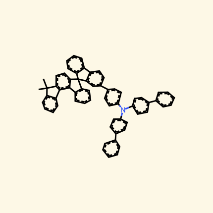 CC1(C)c2ccccc2-c2c1ccc1c2-c2ccccc2C12c1ccccc1-c1ccc(-c3ccc(N(c4ccc(-c5ccccc5)cc4)c4ccc(-c5ccccc5)cc4)cc3)cc12